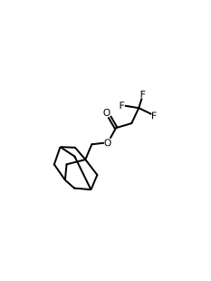 O=C(CC(F)(F)F)OCC12CC3CC(CC(C3)C1)C2